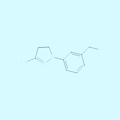 NC1=NN(c2cccc(CF)c2)CC1